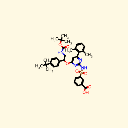 Cc1cccc(C)c1-c1cc(OC(CNC(=O)OC(C)(C)C)c2ccc(C(C)(C)C)cc2)nc(NS(=O)(=O)c2cccc(C(=O)O)c2)n1